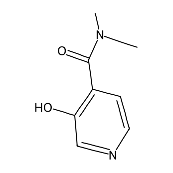 CN(C)C(=O)c1ccncc1O